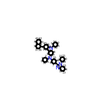 c1ccc(N(c2ccc(-c3nc4ccccc4n3-c3ccccc3)cc2)c2ccc3c(c2)c2cc(-c4cccc5ccccc45)ccc2n3-c2ccccc2)cc1